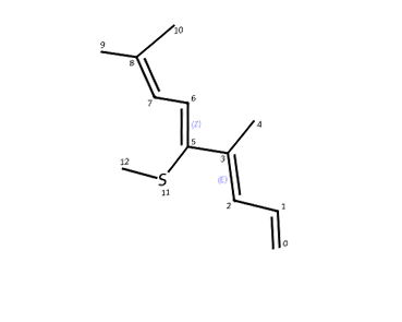 C=C/C=C(C)/C(=C/C=C(C)C)SC